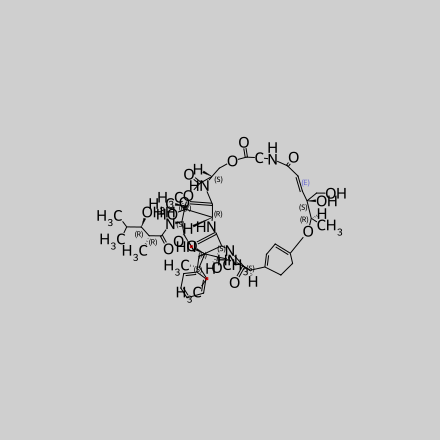 CC[C@H](C)[C@H]1NC(=O)[C@@H](NC(=O)[C@H](C)[C@H](O)C(C)C)[C@@H](C)OC(=O)[C@@H]2COC(=O)CNC(=O)/C=C/[C@](O)(CO)[C@@H](C)OC3=CC=C(CC3)[C@H](NC1=O)C(=O)N(C)[C@@H](Cc1ccccc1)C(=O)N[C@H]([C@@H](C)O)C(=O)N2